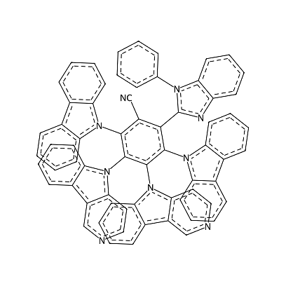 N#Cc1c(-c2nc3ccccc3n2-c2ccccc2)c(-n2c3ccccc3c3ccccc32)c(-n2c3ccccc3c3cnccc32)c(-n2c3ccccc3c3cnccc32)c1-n1c2ccccc2c2ccccc21